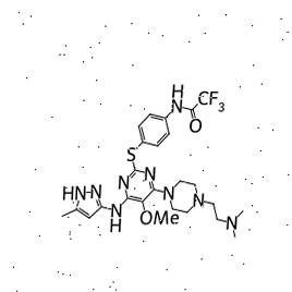 COc1c(Nc2cc(C)[nH]n2)nc(Sc2ccc(NC(=O)C(F)(F)F)cc2)nc1N1CCN(CCN(C)C)CC1